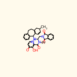 CC1C=CC2=C(CCc3ccccc3C2N2C(CN3C(=O)c4ccccc4C3=O)N(C(C)C)C(=O)c3c(O)c(=O)ccn32)C1